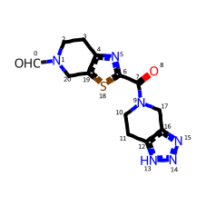 O=CN1CCc2nc(C(=O)N3CCc4[nH]nnc4C3)sc2C1